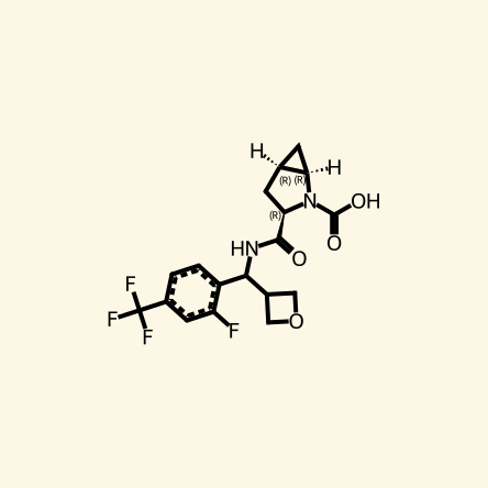 O=C(NC(c1ccc(C(F)(F)F)cc1F)C1COC1)[C@H]1C[C@H]2C[C@H]2N1C(=O)O